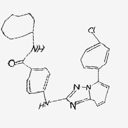 O=C(NC1CCCCC1)c1ccc(Nc2nc3cccc(-c4ccc(Cl)cc4)n3n2)cc1